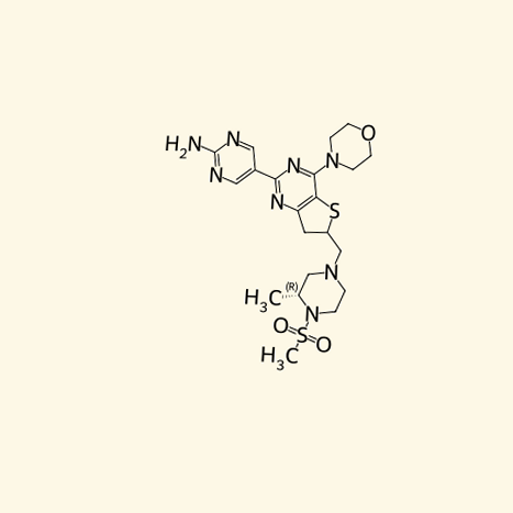 C[C@@H]1CN(CC2Cc3nc(-c4cnc(N)nc4)nc(N4CCOCC4)c3S2)CCN1S(C)(=O)=O